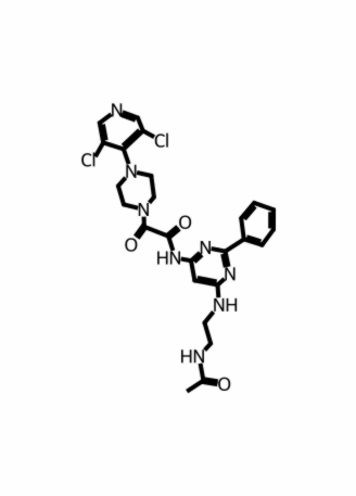 CC(=O)NCCNc1cc(NC(=O)C(=O)N2CCN(c3c(Cl)cncc3Cl)CC2)nc(-c2ccccc2)n1